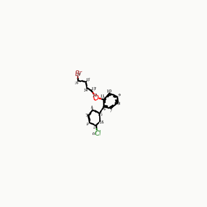 ClC1CCCC(c2ccccc2OCCCCBr)C1